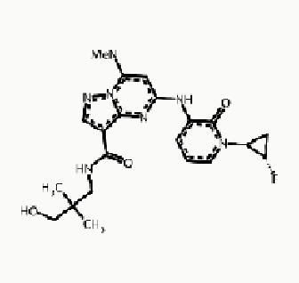 CNc1cc(Nc2cccn([C@H]3C[C@@H]3F)c2=O)nc2c(C(=O)NCC(C)(C)CO)cnn12